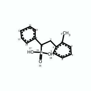 Cc1ccccc1CC(c1ccccc1)P(=O)(O)O